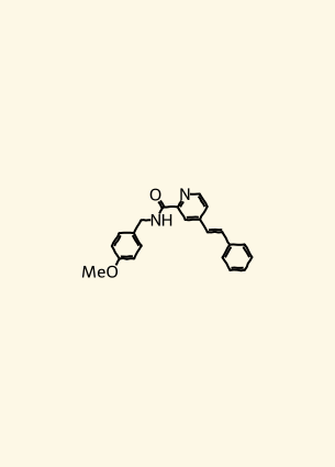 COc1ccc(CNC(=O)c2cc(/C=C/c3ccccc3)ccn2)cc1